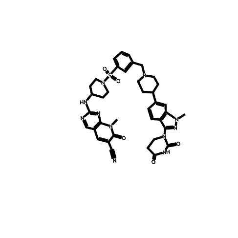 Cn1nc(N2CCC(=O)NC2=O)c2ccc(C3CCN(Cc4cccc(S(=O)(=O)N5CCC(Nc6ncc7cc(C#N)c(=O)n(C)c7n6)CC5)c4)CC3)cc21